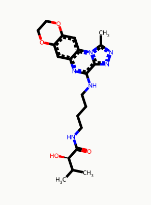 Cc1nnc2c(NCCCCNC(=O)[C@H](O)C(C)C)nc3cc4c(cc3n12)OCCO4